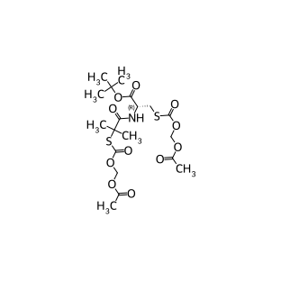 CC(=O)OCOC(=O)SC[C@H](NC(=O)C(C)(C)SC(=O)OCOC(C)=O)C(=O)OC(C)(C)C